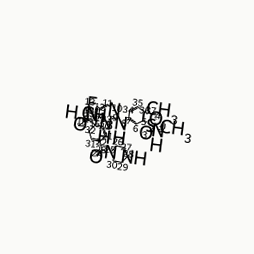 CNS(=O)(=O)c1cc(NC2=NC=C(F)C(N)(C3(C(C)=O)C=CC(C(=O)N4CCNCC4)=CC3)N2)ccc1C